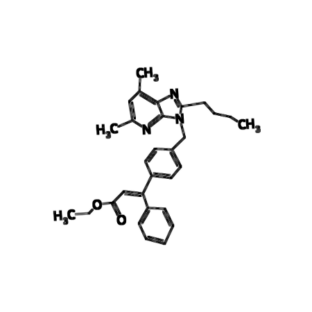 CCCCc1nc2c(C)cc(C)nc2n1Cc1ccc(C(=CC(=O)OCC)c2ccccc2)cc1